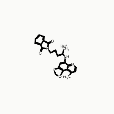 Cc1ccnc2c(NC(C)CCCN3C(=O)c4ccccc4C3=O)cc3c(c12)OCO3.Cl